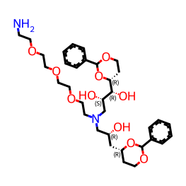 NCCOCCOCCOCCN(C[C@H](O)C[C@H]1CCOC(c2ccccc2)O1)C[C@H](O)[C@@H](O)[C@H]1CCOC(c2ccccc2)O1